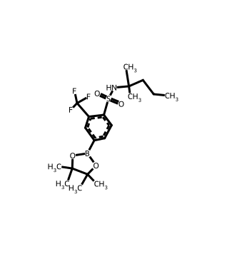 CCCC(C)(C)NS(=O)(=O)c1ccc(B2OC(C)(C)C(C)(C)O2)cc1C(F)(F)F